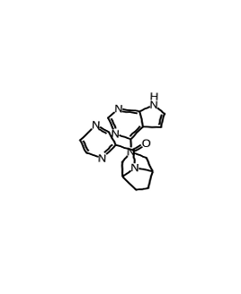 O=C(c1cnccn1)N1C2CCC1CN(c1ncnc3[nH]ccc13)C2